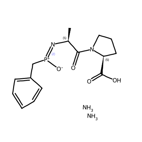 C[C@H](/N=[P+](\[O-])Cc1ccccc1)C(=O)N1CCC[C@H]1C(=O)O.N.N